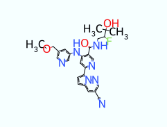 COCc1cncc(Nc2cc(-c3ccc4cc(C#N)cnn34)ncc2C(=O)NCC(F)C(C)(C)O)c1